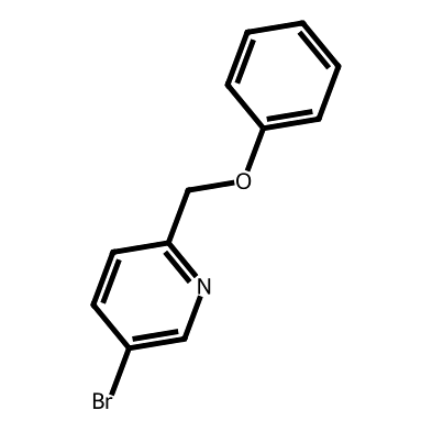 Brc1ccc(COc2ccccc2)nc1